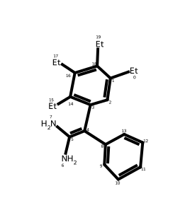 CCc1cc(C(=C(N)N)c2ccccc2)c(CC)c(CC)c1CC